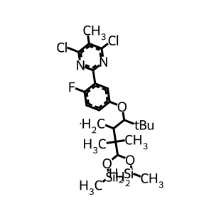 [CH2]C(C(Oc1ccc(F)c(-c2nc(Cl)c(C)c(Cl)n2)c1)C(C)(C)C)C(C)(C)C(O[SiH2]C)O[SiH2]C